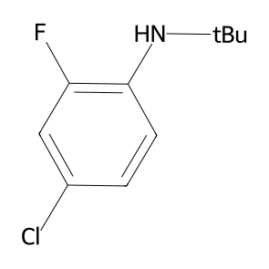 CC(C)(C)Nc1ccc(Cl)cc1F